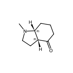 CN1CC[C@H]2C(=O)CCC[C@H]21